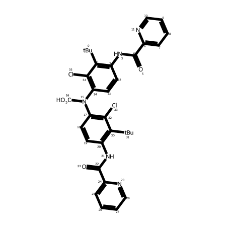 CC(C)(C)c1c(NC(=O)c2ccccn2)ccc(N(C(=O)O)c2ccc(NC(=O)c3ccccn3)c(C(C)(C)C)c2Cl)c1Cl